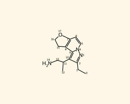 CCc1nn2ccc3c(c2c1C(C)CN)CCO3